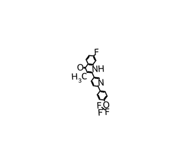 Cc1c(-c2ccc(-c3ccc(OC(F)(F)F)cc3)nc2)[nH]c2cc(F)ccc2c1=O